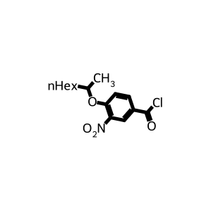 CCCCCCC(C)Oc1ccc(C(=O)Cl)cc1[N+](=O)[O-]